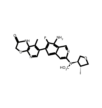 Cc1c(-c2cc3cc(N(C(=O)O)[C@H]4COC[C@@H]4C)ncc3c(N)c2F)cnc2c1NC(=O)CO2